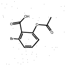 CC(=O)Oc1cccc(Br)c1C(=O)O